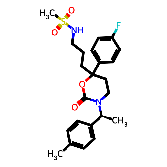 Cc1ccc([C@H](C)N2CCC(CCCNS(C)(=O)=O)(c3ccc(F)cc3)OC2=O)cc1